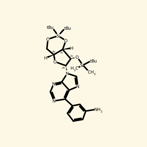 CC(C)(C)[Si](C)(C)O[C@H]1[C@H]2O[Si](C(C)(C)C)(C(C)(C)C)OC[C@H]2O[C@H]1n1cnc2c(-c3cccc(N)c3)ncnc21